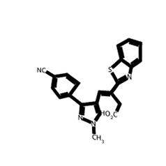 Cn1cc(/C=C(\CC(=O)O)c2nc3ccccc3s2)c(-c2ccc(C#N)cc2)n1